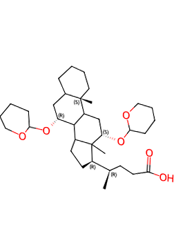 C[C@H](CCC(=O)O)[C@H]1CCC2C3C(C[C@H](OC4CCCCO4)C21C)[C@@]1(C)CCCCC1C[C@H]3OC1CCCCO1